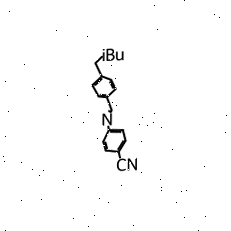 CCC(C)Cc1ccc(C=Nc2ccc(C#N)cc2)cc1